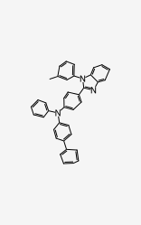 Cc1cccc(-n2c(-c3ccc(N(c4ccccc4)c4ccc(-c5ccccc5)cc4)cc3)nc3ccccc32)c1